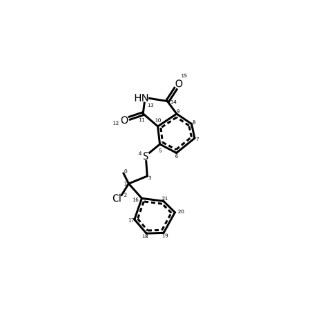 CC(Cl)(CSc1cccc2c1C(=O)NC2=O)c1ccccc1